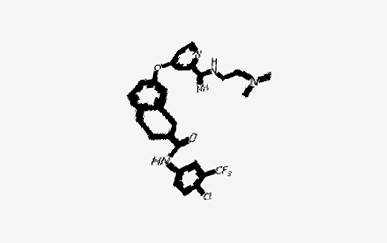 CN(C)CCNC(=N)c1cc(Oc2ccc3c(c2)CC(C(=O)Nc2ccc(Cl)c(C(F)(F)F)c2)CC3)ccn1